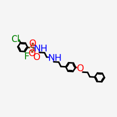 O=C(CCNCCCc1ccc(OCCCc2ccccc2)cc1)NS(=O)(=O)c1cc(Cl)ccc1F